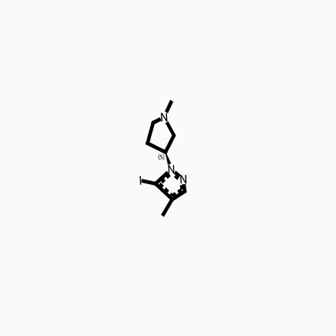 Cc1cnn([C@H]2CCN(C)C2)c1I